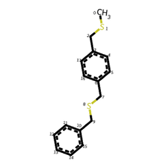 CSCc1ccc(CSCc2ccccc2)cc1